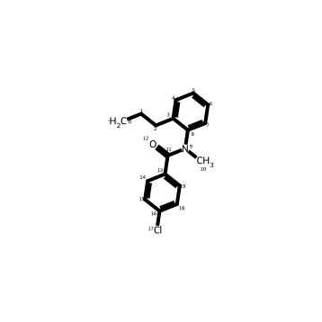 [CH2]CCc1ccccc1N(C)C(=O)c1ccc(Cl)cc1